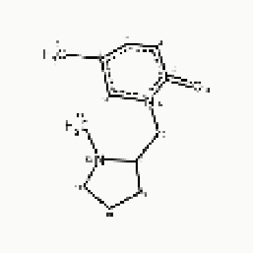 Cc1ccc(=O)n(CC2CCCN2C)c1